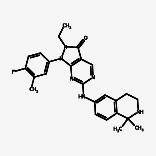 CCn1c(=O)c2cnc(Nc3ccc4c(c3)CCNC4(C)C)nc2n1-c1ccc(F)c(C)c1